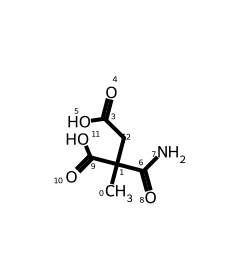 CC([CH]C(=O)O)(C(N)=O)C(=O)O